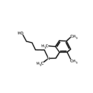 Cc1cc(C)c(CN(C)CCCCO)c(C)c1